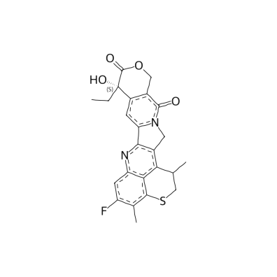 CC[C@@]1(O)C(=O)OCc2c1cc1n(c2=O)Cc2c-1nc1cc(F)c(C)c3c1c2C(C)CS3